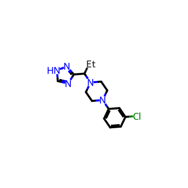 CCC(c1nc[nH]n1)N1CCN(c2cccc(Cl)c2)CC1